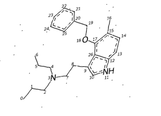 CCCN(CCC)CCc1c[nH]c2ccc(C)c(OCc3ccccc3)c12